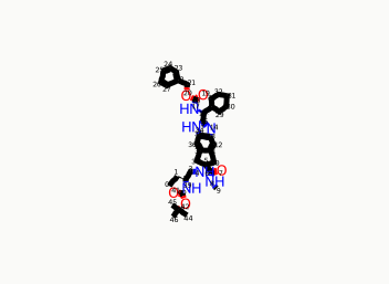 CC[C@H](CNC1(C(=O)NC)Cc2cc3nc([C@@H](NC(=O)OCc4ccccc4)C4CCCCC4)[nH]c3cc2C1)NC(=O)OC(C)(C)C